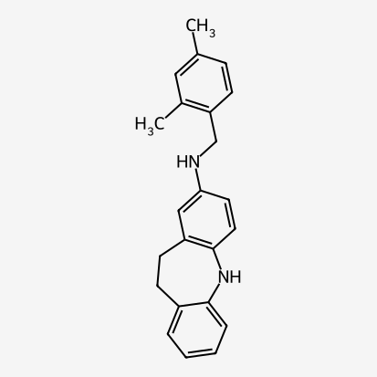 Cc1ccc(CNc2ccc3c(c2)CCc2ccccc2N3)c(C)c1